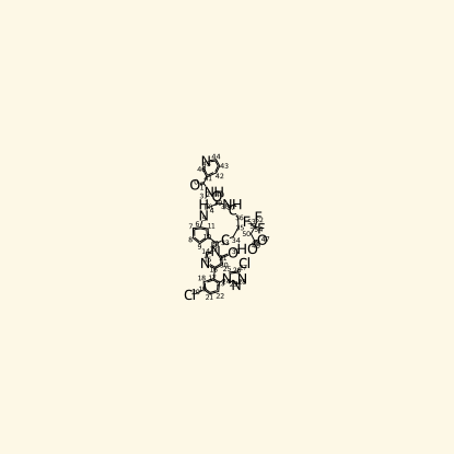 O=C(NC[C@H]1Nc2cccc(c2)[C@@H](n2cnc(-c3cc(Cl)ccc3-n3cc(Cl)nn3)cc2=O)CCCCCNC1=O)c1cccnc1.O=C(O)CC(F)(F)F